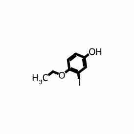 CCOc1ccc(O)cc1I